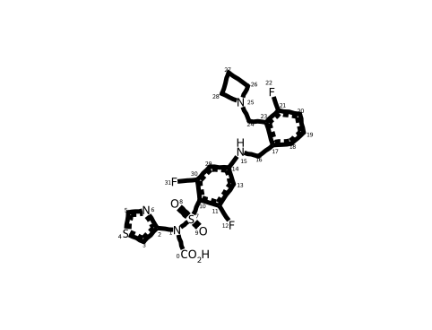 O=C(O)N(c1cscn1)S(=O)(=O)c1c(F)cc(NCc2cccc(F)c2CN2CCC2)cc1F